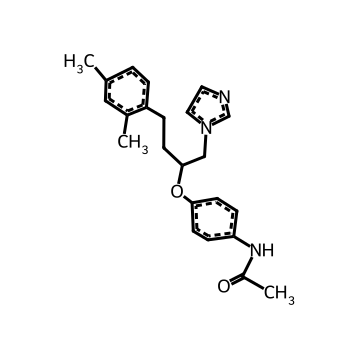 CC(=O)Nc1ccc(OC(CCc2ccc(C)cc2C)Cn2ccnc2)cc1